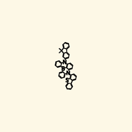 CC1(C)c2ccccc2-c2ccc(N3c4ccccc4B4c5ccccc5N(c5cccc6c5sc5ccccc56)c5cccc3c54)cc21